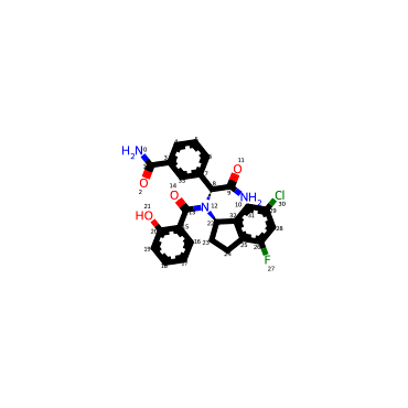 NC(=O)c1cccc([C@H](C(N)=O)N(C(=O)c2ccccc2O)[C@@H]2CCc3c(F)cc(Cl)cc32)c1